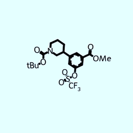 COC(=O)c1cc(OS(=O)(=O)C(F)(F)F)cc(C2CCCN(C(=O)OC(C)(C)C)C2)c1